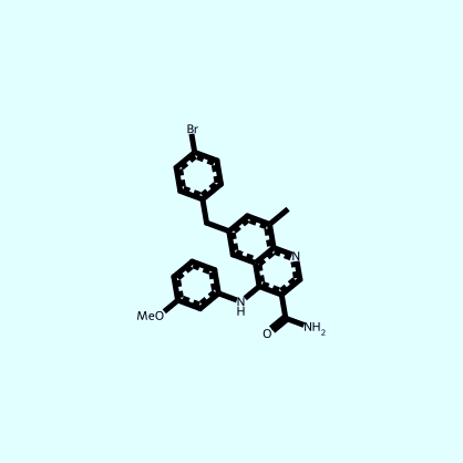 COc1cccc(Nc2c(C(N)=O)cnc3c(C)cc(Cc4ccc(Br)cc4)cc23)c1